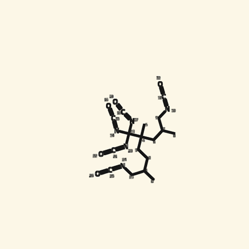 CC(CCC(C)(CC(C)CN=C=O)C(N=C=O)(N=C=O)N=C=O)CN=C=O